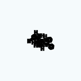 N#CC1=C/C(=C(/C=N)C(=N)OC(=N)NC2N=C(c3ccccc3)c3ccccc3NC2=O)NC=C1